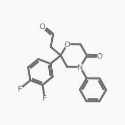 O=CCC1(c2ccc(F)c(F)c2)CN(c2ccccc2)C(=O)CO1